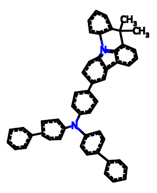 CC1(C)c2ccccc2-n2c3ccc(-c4ccc(N(c5ccc(-c6ccccc6)cc5)c5ccc(-c6ccccc6)cc5)cc4)cc3c3cccc1c32